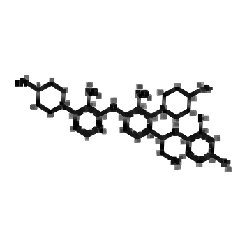 CCCC1CCN(c2ccnc(Oc3ccc(C(CC(C)=O)Oc4ccc(Br)cc4F)c(N4CCC(CCC)CC4)c3[N+](=O)[O-])c2[N+](=O)[O-])CC1